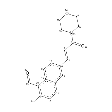 Cc1ccc2cc(/C=C/C(=O)N3CCOCC3)ccc2c1C=O